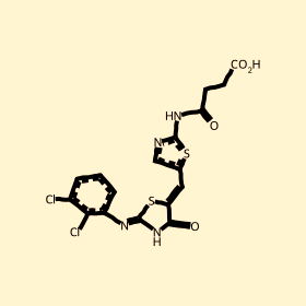 O=C(O)CCC(=O)Nc1ncc(/C=C2\S/C(=N\c3cccc(Cl)c3Cl)NC2=O)s1